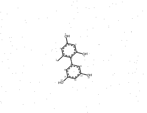 Cc1cc(O)cc(O)c1-c1cc(O)cc(O)c1